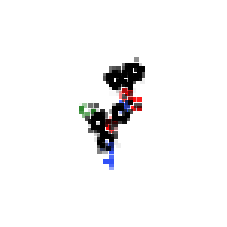 O=C(OCC1c2ccccc2-c2ccccc21)N1CCC(Oc2cc(Cl)ccc2C2CCNCC2)CC1